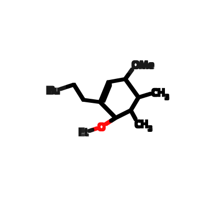 CCOC1C(CCC(C)CC)=CC(OC)C(C)C1C